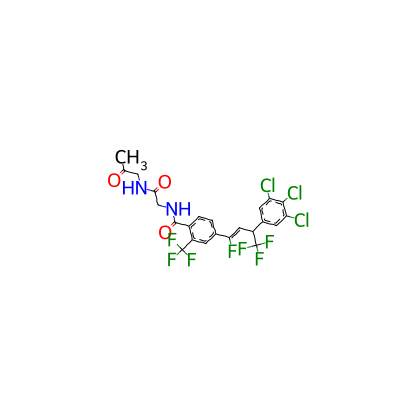 CC(=O)CNC(=O)CNC(=O)c1ccc(/C(F)=C/C(c2cc(Cl)c(Cl)c(Cl)c2)C(F)(F)F)cc1C(F)(F)F